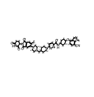 Cn1ncc2c(OC3CCC(NC(=O)c4ccc(N5CCC(CN6CCN(c7cc8c(cc7F)C(=O)N(C7CCC(=O)NC7=O)C8=O)CC6)CC5)nn4)CC3)ccc(C#N)c21